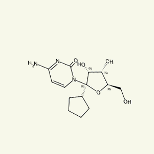 Nc1ccn([C@]2(C3CCCC3)O[C@H](CO)[C@@H](O)[C@H]2O)c(=O)n1